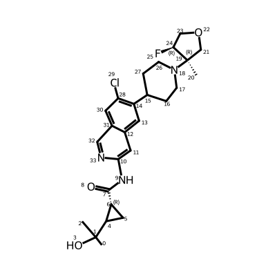 CC(C)(O)C1C[C@H]1C(=O)Nc1cc2cc(C3CCN([C@]4(C)COC[C@@H]4F)CC3)c(Cl)cc2cn1